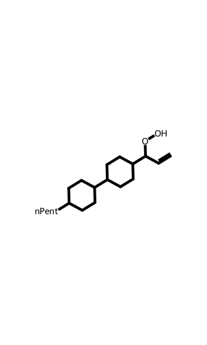 C=CC(OO)C1CCC(C2CCC(CCCCC)CC2)CC1